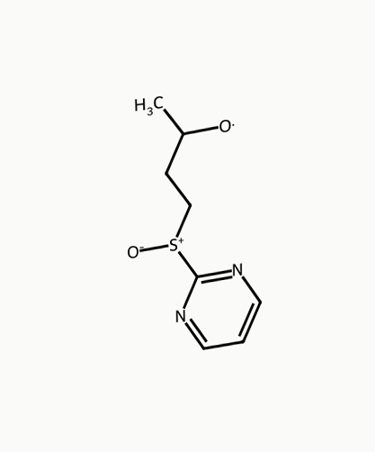 CC([O])CC[S+]([O-])c1ncccn1